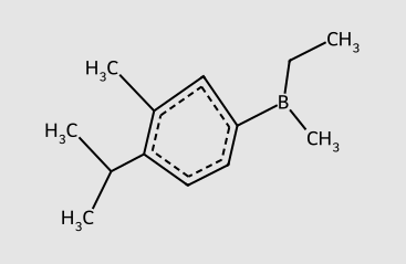 CCB(C)c1ccc(C(C)C)c(C)c1